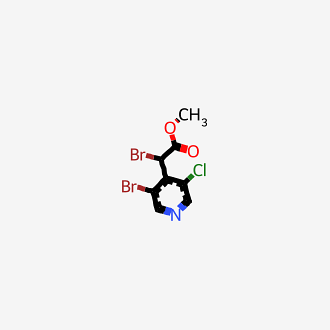 COC(=O)C(Br)c1c(Cl)cncc1Br